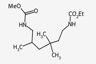 CCOC(=O)NCCC(C)(C)CC(C)CNC(=O)OC